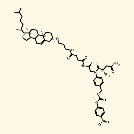 CC(C)CCC[C@@H](C)[C@H]1CCC2C3CC=C4C[C@@H](OCCCNC(=O)CCC(=O)NC(=O)CN(C(=O)[C@@H](N)CC(N)=O)c5ccc(COC(=O)Oc6ccc([N+](=O)[O-])cc6)cc5)CC[C@]4(C)C3CC[C@@]21C